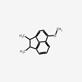 COc1ccc2c3c(cccc13)C(C)C2C